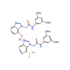 COc1cc(NC(=O)Cn2cnc3cccc(OC(F)(F)F)c32)cc(OC)c1.COc1cc(NC(=O)Cn2cnc3cccc([S+](C)[O-])c32)cc(OC)c1